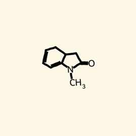 CN1C(=O)CC2CC=CC=C21